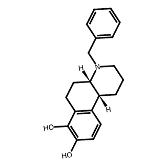 Oc1ccc2c(c1O)CC[C@H]1[C@@H]2CCCN1Cc1ccccc1